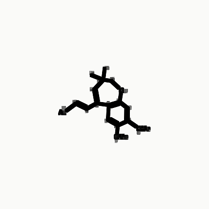 COc1cc2c(cc1OC)C(C=CC(C)=O)=CC(C)(C)CO2